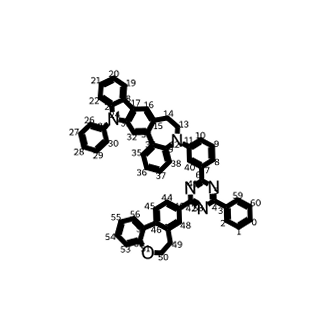 c1ccc(-c2nc(-c3cccc(N4CCc5cc6c7ccccc7n(-c7ccccc7)c6cc5-c5ccccc54)c3)nc(-c3ccc4c(c3)CCOc3ccccc3-4)n2)cc1